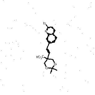 CCc1ccc2ccc(/C=C/C3(C(=O)O)COC(C)(C)OC3)cc2n1